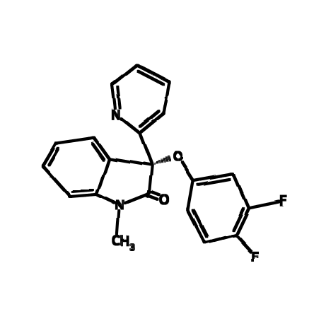 CN1C(=O)[C@](Oc2ccc(F)c(F)c2)(c2ccccn2)c2ccccc21